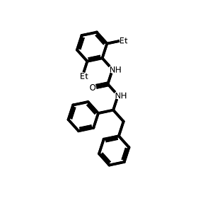 CCc1cccc(CC)c1NC(=O)NC(Cc1ccccc1)c1ccccc1